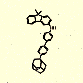 CC1(C)c2ccccc2-c2cc(Nc3ccc(-c4ccc(C56CC7CC8CC(C5)C8(C7)C6)cc4)cc3)ccc21